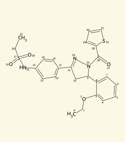 CCOc1ccccc1C1CC(c2ccc(NS(=O)(=O)CC)cc2)=NN1C(=O)c1cccs1